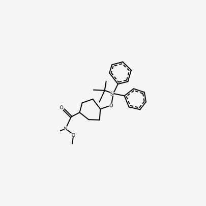 CON(C)C(=O)C1CCC(O[Si](c2ccccc2)(c2ccccc2)C(C)(C)C)CC1